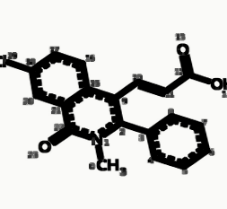 Cn1c(-c2ccccc2)c(C=CC(=O)O)c2ccc(Cl)cc2c1=O